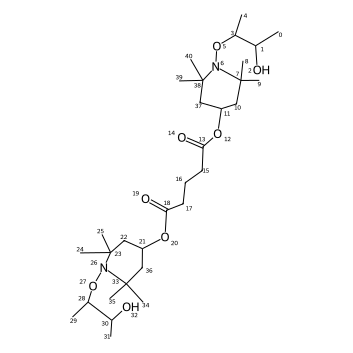 CC(O)C(C)ON1C(C)(C)CC(OC(=O)CCCC(=O)OC2CC(C)(C)N(OC(C)C(C)O)C(C)(C)C2)CC1(C)C